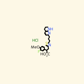 COc1ccc(C(CC(=O)O)Cc2csc(CCCc3ccc4c(n3)NCCC4)n2)cc1F.Cl